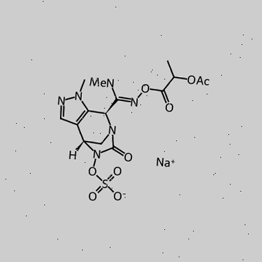 CN/C(=N\OC(=O)C(C)OC(C)=O)[C@@H]1c2c(cnn2C)[C@@H]2CN1C(=O)N2OS(=O)(=O)[O-].[Na+]